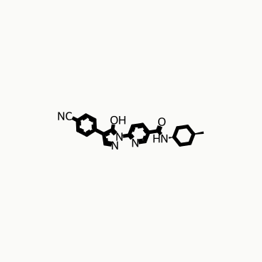 C[C@H]1CC[C@H](NC(=O)c2ccc(-n3ncc(-c4ccc(C#N)cc4)c3O)nc2)CC1